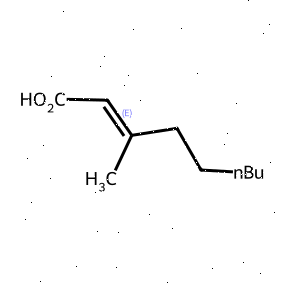 CCCCCC/C(C)=C/C(=O)O